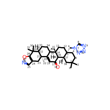 CC1(C)CC[C@]2(Cn3cnnn3)CC[C@]3(C)[C@H](C(=O)C=C4[C@@]5(C)Cc6cnoc6C(C)(C)[C@@H]5CC[C@]43C)[C@@H]2C1